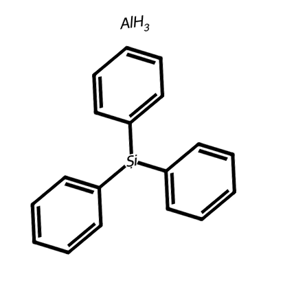 [AlH3].c1ccc([Si](c2ccccc2)c2ccccc2)cc1